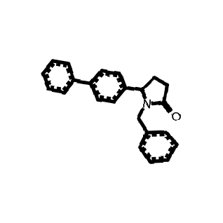 O=C1CCC(c2ccc(-c3ccccc3)cc2)N1Cc1ccccc1